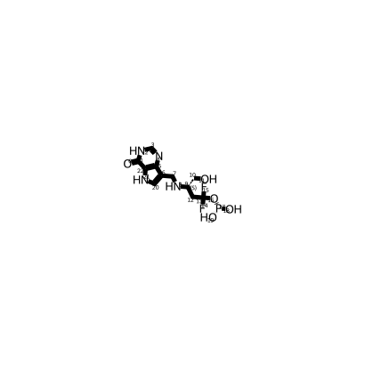 O=c1[nH]cnc2c(CN[C@H](CO)CC(F)(F)OP(O)O)c[nH]c12